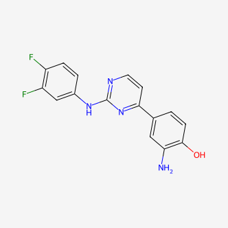 Nc1cc(-c2ccnc(Nc3ccc(F)c(F)c3)n2)ccc1O